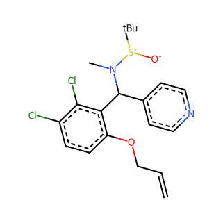 C=CCOc1ccc(Cl)c(Cl)c1C(c1ccncc1)N(C)[S+]([O-])C(C)(C)C